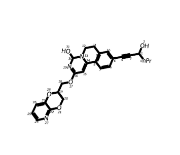 CCCC(O)C#Cc1ccc2c(c1)CCN1C2=CC(OCC2COc3ncccc3O2)=NC1O